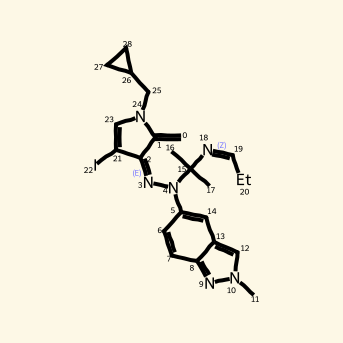 C=C1/C(=N\N(c2ccc3nn(C)cc3c2)C(C)(C)/N=C\CC)C(I)=CN1CC1CC1